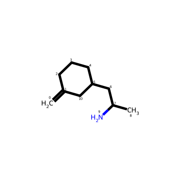 C=C1CCCC(CC(C)N)C1